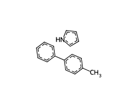 Cc1ccc(-c2ccccc2)cc1.c1cc[nH]c1